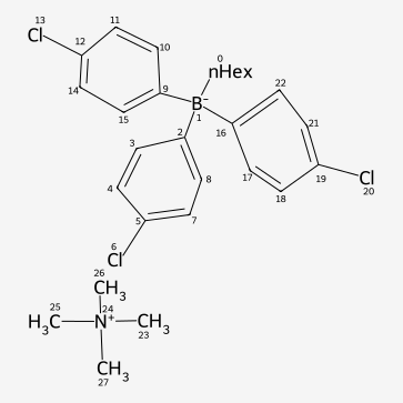 CCCCCC[B-](c1ccc(Cl)cc1)(c1ccc(Cl)cc1)c1ccc(Cl)cc1.C[N+](C)(C)C